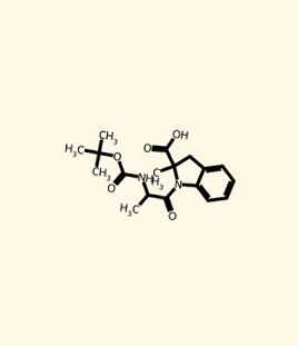 CC(NC(=O)OC(C)(C)C)C(=O)N1c2ccccc2CC1(C)C(=O)O